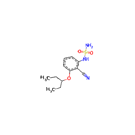 CCC(CC)Oc1cccc(NS(N)(=O)=O)c1C#N